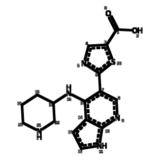 O=C(O)c1cnc(-c2cnc3[nH]ccc3c2NC2CCCNC2)s1